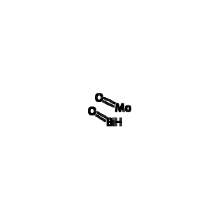 [O]=[BiH].[O]=[Mo]